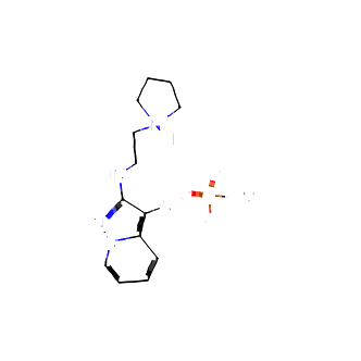 COS(=O)(=O)[O-].C[N+]1(CCNc2nn3ccccc3c2[N+](=O)[O-])CCCC1